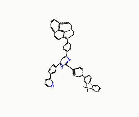 CC1(C)c2ccccc2-c2ccc(-c3ccc(-c4nc(-c5ccc(-c6ccc7ccc8cccc9ccc6c7c89)cc5)cc(-c5cccc(-c6cccnc6)c5)n4)cc3)cc21